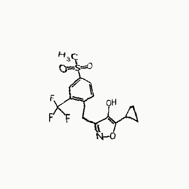 CS(=O)(=O)c1ccc(Cc2noc(C3CC3)c2O)c(C(F)(F)F)c1